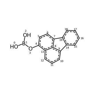 OB(O)Oc1ccc2c3c(cccc13)-c1ccccc1-2